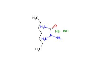 Br.Br.CCCCCCC.NC(=O)N(N)N